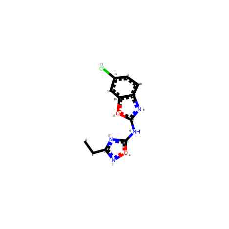 CCc1noc(Nc2nc3ccc(Cl)cc3o2)n1